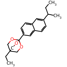 CCC(C)c1ccc2cc(C34OCC(CC)(CO3)CO4)ccc2c1